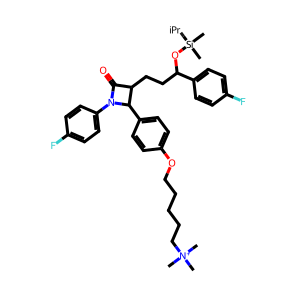 CC(C)[Si](C)(C)OC(CCC1C(=O)N(c2ccc(F)cc2)C1c1ccc(OCCCCC[N+](C)(C)C)cc1)c1ccc(F)cc1